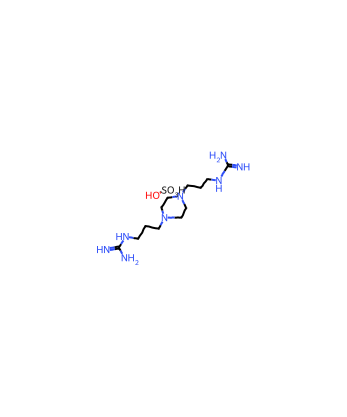 N=C(N)NCCCN1CCN(CCCNC(=N)N)CC1.O=S(=O)(O)O